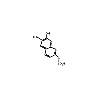 Nc1cc2ccc(OS(=O)(=O)O)nc2nc1O